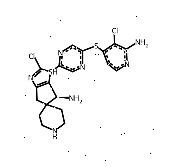 Nc1nccc(Sc2cnc([SH]3C(Cl)=NC4=C3[C@@H](N)C3(CCNCC3)C4)cn2)c1Cl